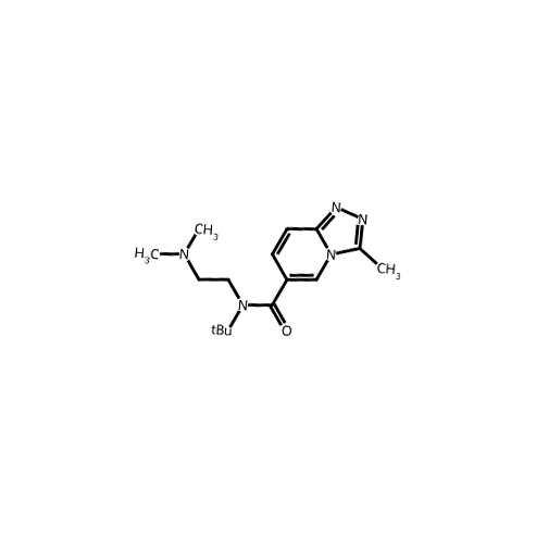 Cc1nnc2ccc(C(=O)N(CCN(C)C)C(C)(C)C)cn12